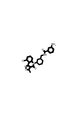 Cc1onc2c1c(=O)n(C1CCCC(CNC(=O)c3cccc(N)c3)C1)c1cccc(Cl)c21